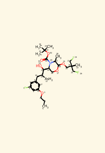 CCCOc1cc(F)cc(CC([AsH2])C(O)C2COC(OCC(C)(CF)CF)C(C)N2C(=O)OC(C)(C)C)c1